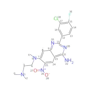 CN(C)CCN(C)c1cc2nc(-c3ccc(F)c(Cl)c3)nc(N)c2cc1[N+](=O)[O-]